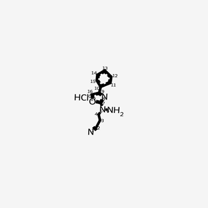 Cl.N#CCCN(N)c1nc(-c2ccccc2)co1